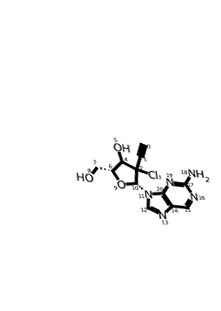 C#CC1(Cl)C(O)[C@@H](CO)O[C@H]1n1cnc2cnc(N)nc21